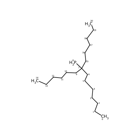 CCCCCCCC(P)(CCCCCC)CCCCCC